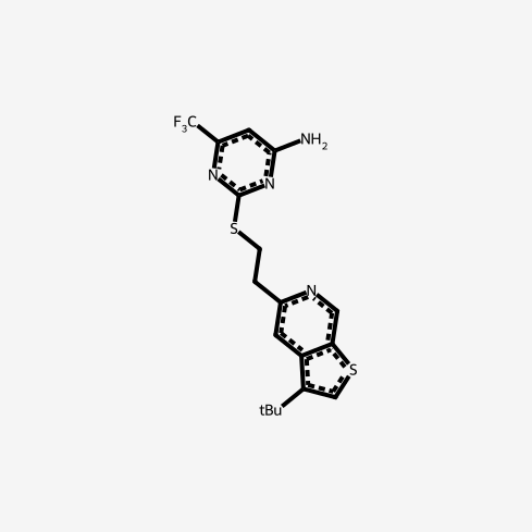 CC(C)(C)c1csc2cnc(CCSc3nc(N)cc(C(F)(F)F)n3)cc12